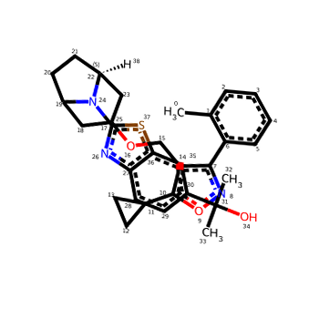 Cc1ccccc1-c1noc(C2CC2)c1COC1CC2CC[C@@H](C1)N2c1nc2ccc(C(C)(C)O)cc2s1